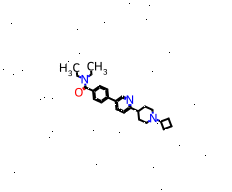 CCN(CC)C(=O)c1ccc(-c2ccc(C3CCN(C4CCC4)CC3)nc2)cc1